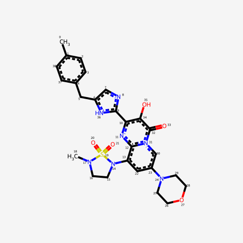 Cc1ccc(Cc2cnc(-c3nc4c(N5CCN(C)S5(=O)=O)cc(N5CCOCC5)cn4c(=O)c3O)[nH]2)cc1